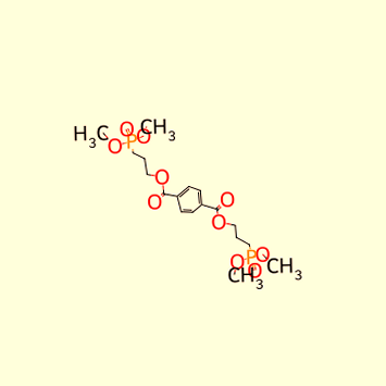 COP(=O)(CCCOC(=O)c1ccc(C(=O)OCCCP(=O)(OC)OC)cc1)OC